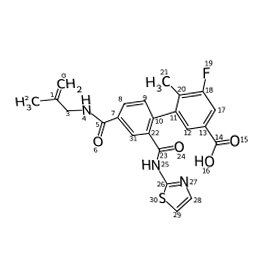 C=C(C)CNC(=O)c1ccc(-c2cc(C(=O)O)cc(F)c2C)c(C(=O)Nc2nccs2)c1